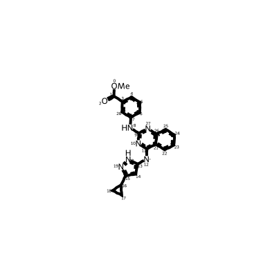 COC(=O)c1cccc(Nc2nc([N]c3cc(C4CC4)n[nH]3)c3ccccc3n2)c1